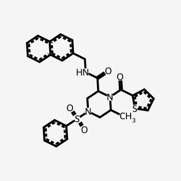 CC1CN(S(=O)(=O)c2ccccc2)CC(C(=O)NCc2ccc3ccccc3c2)N1C(=O)c1cccs1